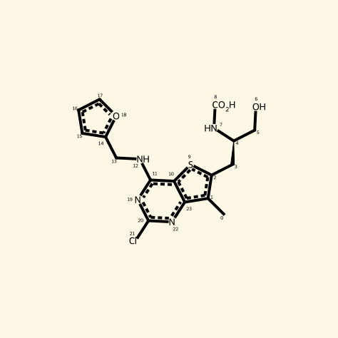 Cc1c(C[C@H](CO)NC(=O)O)sc2c(NCc3ccco3)nc(Cl)nc12